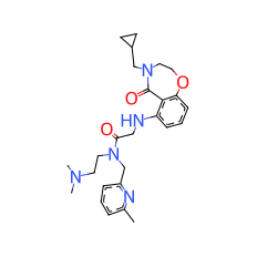 Cc1cccc(CN(CCN(C)C)C(=O)CNc2cccc3c2C(=O)N(CC2CC2)CCO3)n1